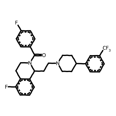 O=C(c1ccc(F)cc1)N1CCc2c(F)cccc2C1CCN1CCC(c2cccc(C(F)(F)F)c2)CC1